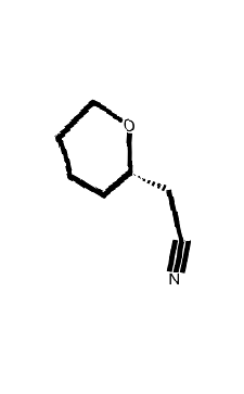 N#CC[C@@H]1CCCCO1